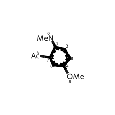 CNc1ccc(OC)cc1C(C)=O